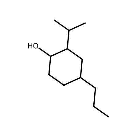 CCCC1CCC(O)C(C(C)C)C1